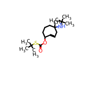 CC(C)(C)NC1(C)C/C=C/C(OC(=O)SC(C)(C)C)CCC1